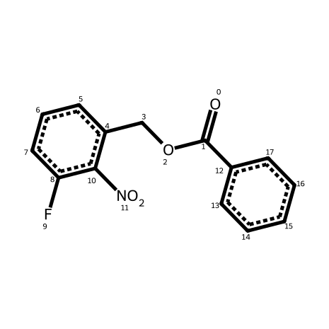 O=C(OCc1cccc(F)c1[N+](=O)[O-])c1ccccc1